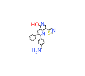 NCc1ccc(-c2nc3c(-c4cncs4)cnc(O)c3cc2-c2ccccc2)cc1